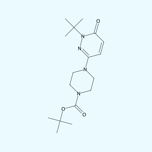 CC(C)(C)OC(=O)N1CCN(c2ccc(=O)n(C(C)(C)C)n2)CC1